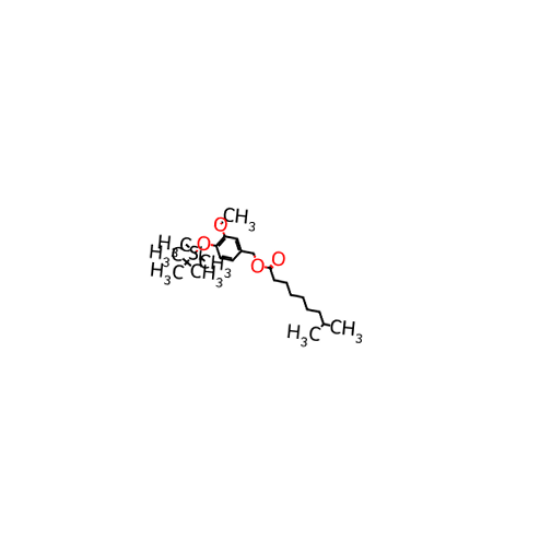 COc1cc(COC(=O)CCCCCCC(C)C)ccc1O[Si](C)(C)C(C)(C)C